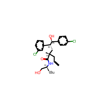 C=CC[C@@](C)(C[C@H](c1cccc(Cl)c1)[C@@H](O)c1ccc(Cl)cc1)C(=O)N[C@H](CO)C(C)(C)C